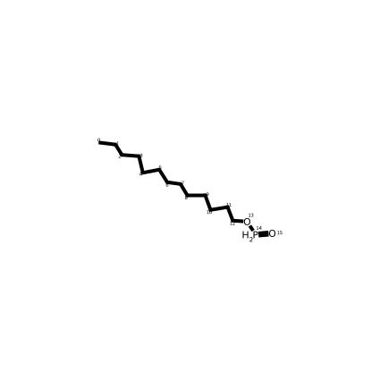 CCCCCCCCCCCCCO[PH2]=O